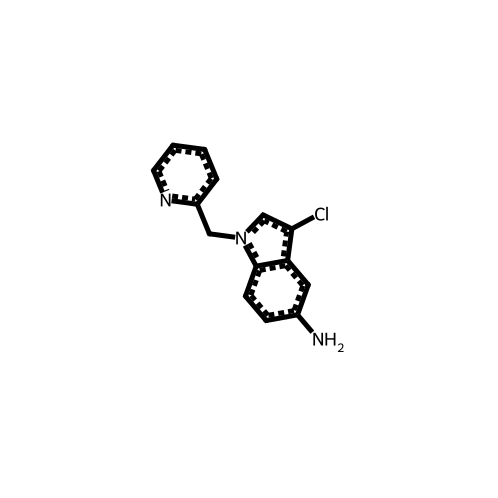 Nc1ccc2c(c1)c(Cl)cn2Cc1ccccn1